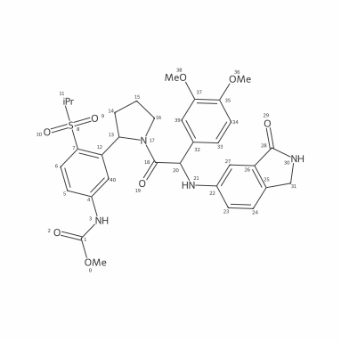 COC(=O)Nc1ccc(S(=O)(=O)C(C)C)c(C2CCCN2C(=O)C(Nc2ccc3c(c2)C(=O)NC3)c2ccc(OC)c(OC)c2)c1